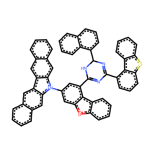 c1ccc2cc3c(cc2c1)c1cc2ccccc2cc1n3-c1cc(C2=NC(c3cccc4sc5ccccc5c34)=NC(c3cccc4ccccc34)N2)c2c(c1)oc1ccccc12